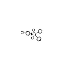 O=C1C(c2ccccc2)=C(c2ccccc2)C(=O)N1c1ccc(Cl)cc1